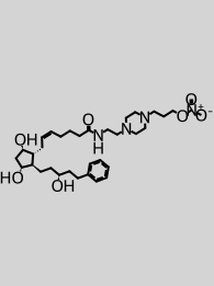 O=C(CCC/C=C\C[C@@H]1[C@@H](CC[C@@H](O)CCc2ccccc2)[C@H](O)C[C@@H]1O)NCCN1CCN(CCCO[N+](=O)[O-])CC1